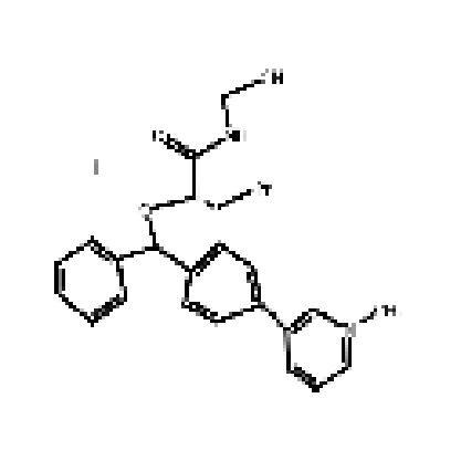 CC(C)C[C@H](OC(c1ccccc1)c1ccc(-c2ccc[n+](C)c2)cc1)C(=O)NCC#N.[I-]